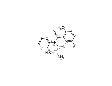 Cc1ccc(F)c2nc(C(C)N)n(-c3ccccc3)c(=O)c12